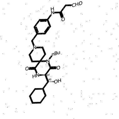 CCCCN1C(=O)[C@@H]([C@H](O)C2CCCCC2)NC(=O)C12CCN(Cc1ccc(NC(=O)CC=O)cc1)CC2